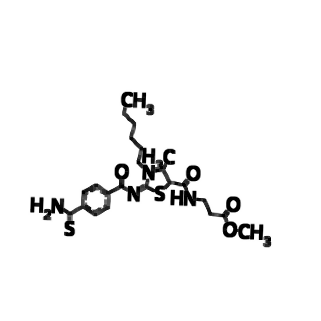 CCCCCCN1C(=NC(=O)c2ccc(C(N)=S)cc2)SC(C(=O)NCCC(=O)OC)C1C